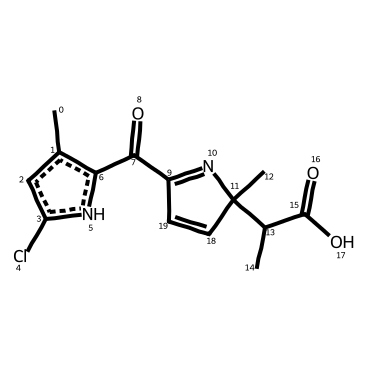 Cc1cc(Cl)[nH]c1C(=O)C1=NC(C)(C(C)C(=O)O)C=C1